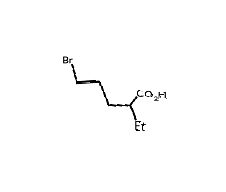 CCC(CCCBr)C(=O)O